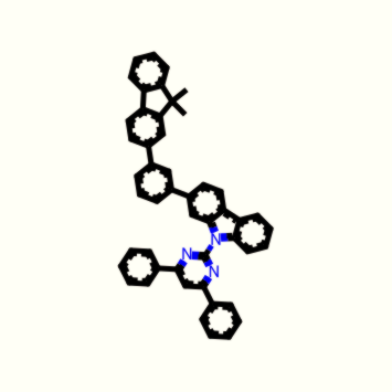 CC1(C)c2ccccc2-c2ccc(-c3cccc(-c4ccc5c6ccccc6n(-c6nc(-c7ccccc7)cc(-c7ccccc7)n6)c5c4)c3)cc21